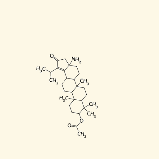 CC(=O)OC1CCC2(C)C(CCC3(C)C4CCC5(N)CC(=O)C(C(C)C)=C5C4CCC32)C1(C)C